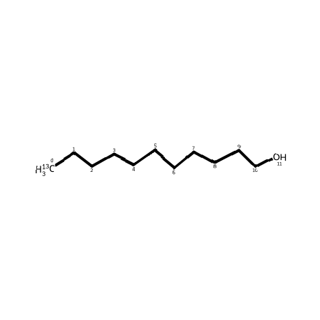 [13CH3]CCCCCCCCCCO